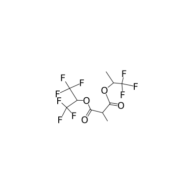 CC(C(=O)OC(C)C(F)(F)F)C(=O)OC(C(F)(F)F)C(F)(F)F